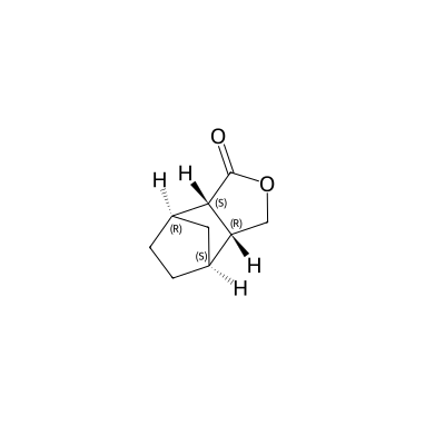 O=C1OC[C@@H]2[C@H]3CC[C@H](C3)[C@H]12